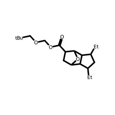 CCC1CC(CC)C2C3OC(CC3C(=O)OCOCC(C)(C)C)C12